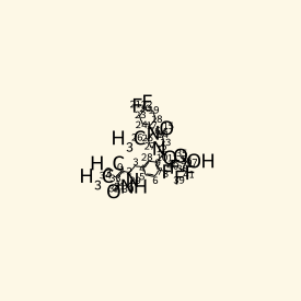 Cc1c(Cc2ccc(F)c(C(=O)N3CC(=O)N(C4CCC(F)(F)CC4)C(C)C3)c2)n[nH]c(=O)c1C.O=C(O)C(F)(F)F